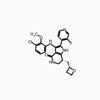 COc1c(Cl)cccc1Nc1c(-c2ccncc2F)[nH]c2c1C(=O)NC[C@H]2C[C@@H]1CCO1